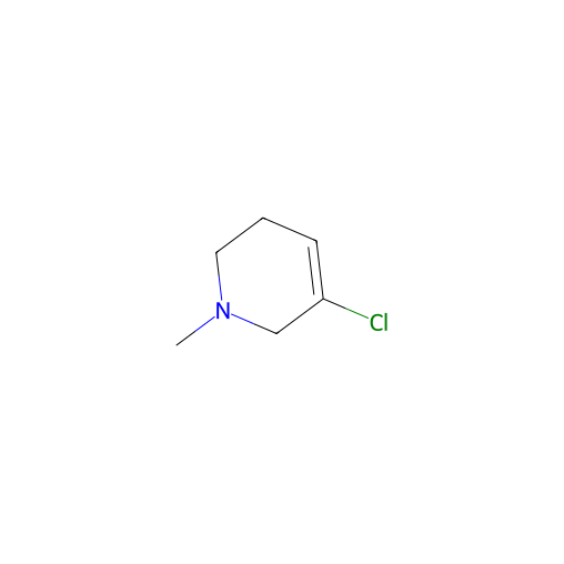 CN1CCC=C(Cl)C1